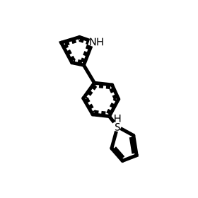 C1=C[SH](c2ccc(-c3ccc[nH]3)cc2)C=C1